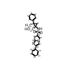 C[C@]1(c2ccccc2)C[C@@]1(NS(=O)(=O)c1cn2cc(-c3ccccc3)nc2s1)C(=O)O